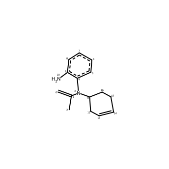 C=C(C)N(c1ccccc1N)C1CC=CCC1